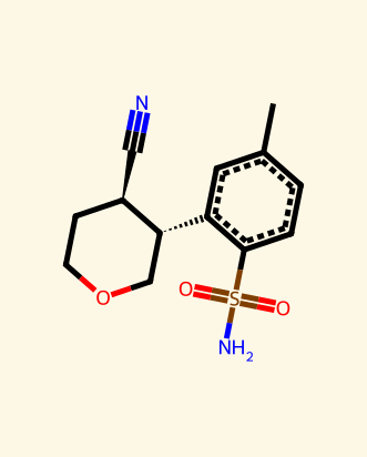 Cc1ccc(S(N)(=O)=O)c([C@@H]2COCC[C@H]2C#N)c1